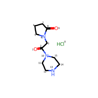 Cl.O=C(CN1CCCC1=O)N1CCNCC1